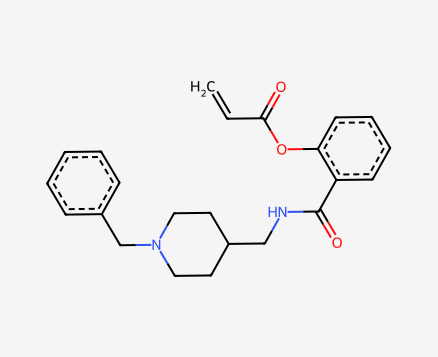 C=CC(=O)Oc1ccccc1C(=O)NCC1CCN(Cc2ccccc2)CC1